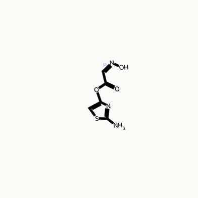 Nc1nc(OC(=O)/C=N\O)cs1